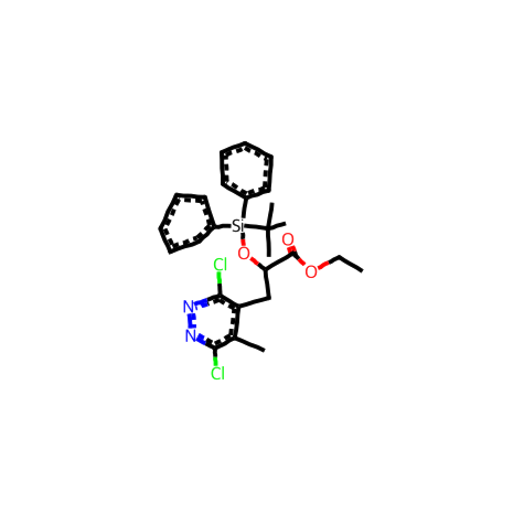 CCOC(=O)C(Cc1c(Cl)nnc(Cl)c1C)O[Si](c1ccccc1)(c1ccccc1)C(C)(C)C